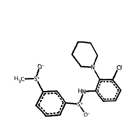 C[S+]([O-])c1cccc([S+]([O-])Nc2cccc(Cl)c2N2CCCCC2)c1